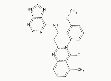 COc1cccc(-n2c(CCNc3ncnc4[nH]cnc34)nc3cccc(C)c3c2=O)c1